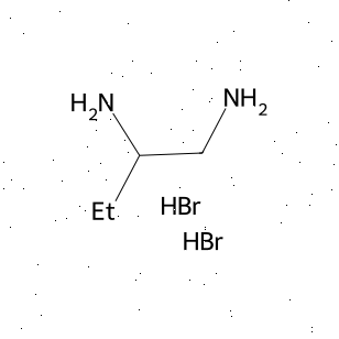 Br.Br.CCC(N)CN